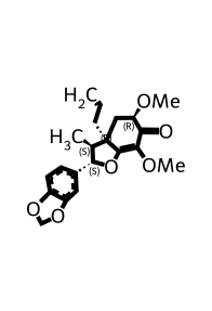 C=CC[C@]12C[C@@H](OC)C(=O)C(OC)=C1O[C@H](c1ccc3c(c1)OCO3)[C@H]2C